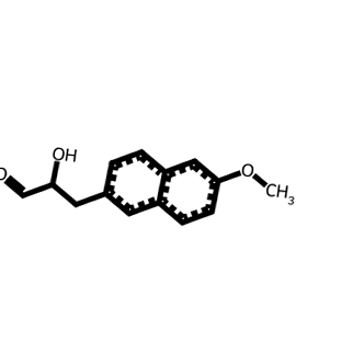 COc1ccc2cc(CC(O)C=O)ccc2c1